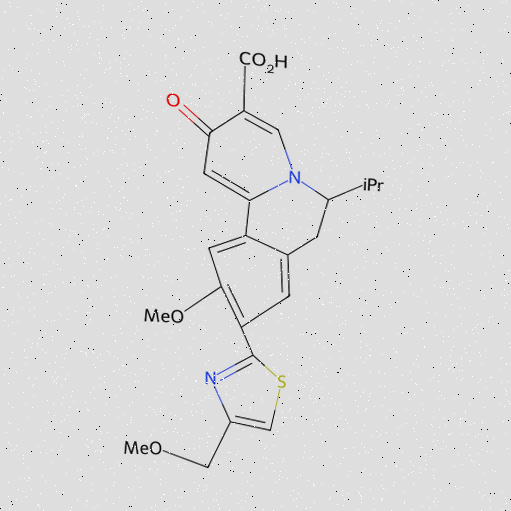 COCc1csc(-c2cc3c(cc2OC)-c2cc(=O)c(C(=O)O)cn2C(C(C)C)C3)n1